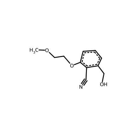 COCCOc1cccc(CO)c1C#N